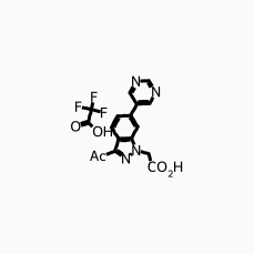 CC(=O)c1nn(CC(=O)O)c2cc(-c3cncnc3)ccc12.O=C(O)C(F)(F)F